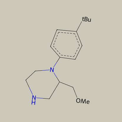 COCC1CNCCN1c1ccc(C(C)(C)C)cc1